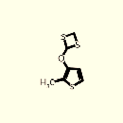 Cc1sccc1OC1SCS1